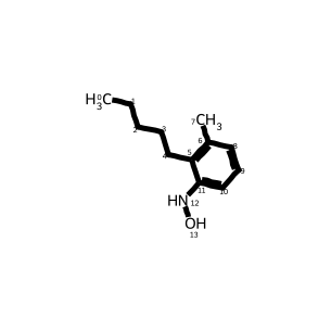 CCCCCc1c(C)cccc1NO